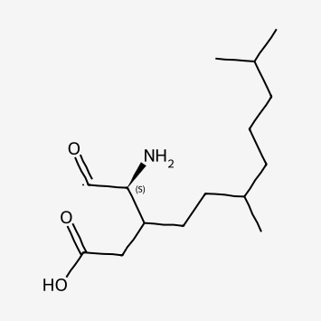 CC(C)CCCC(C)CCC(CC(=O)O)[C@H](N)[C]=O